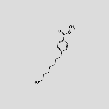 COC(=O)c1ccc(CCCCCCCO)cc1